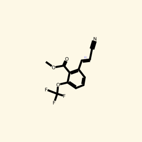 COC(=O)c1c(/C=C/C#N)cccc1OC(F)(F)F